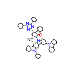 N#Cc1cc(-c2nc(-c3ccccc3)nc(-c3ccccc3)n2)c2c(oc3ccccc32)c1-n1c2ccc(-n3c4ccccc4c4ccccc43)cc2c2cc3c(cc21)c1ccccc1n3-c1ccccc1